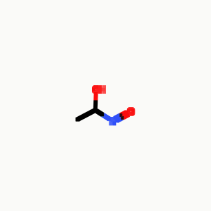 CC(O)N=O